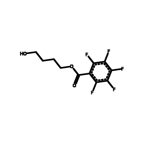 O=C(OCCCCO)c1c(F)c(F)c(F)c(F)c1F